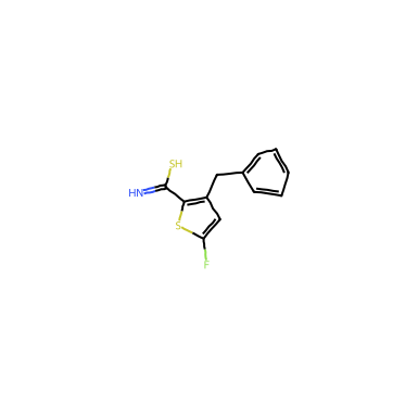 N=C(S)c1sc(F)cc1Cc1ccccc1